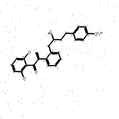 C=C(C(=O)c1c(Cl)cccc1Cl)c1ccccc1CC(CCc1ccc(C(=O)O)cc1)C(C)CC